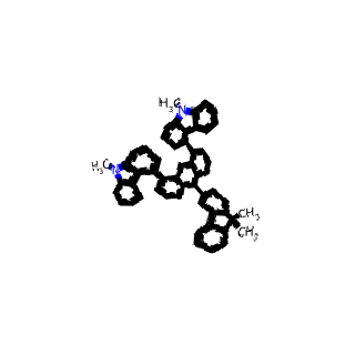 Cn1c2ccccc2c2c(-c3cccc4c(-c5ccc6c(c5)-c5ccccc5C6(C)C)c5cccc(-c6cccc7c6c6ccccc6n7C)c5cc34)cccc21